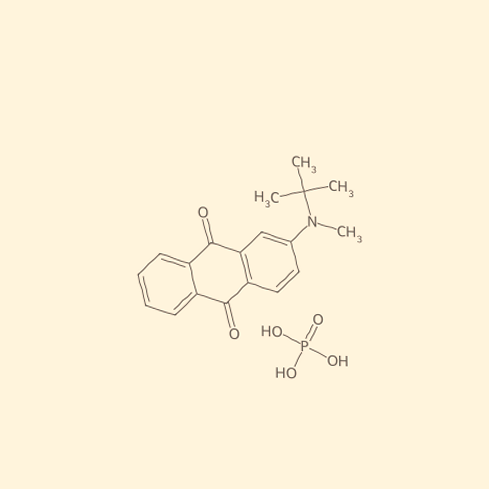 CN(c1ccc2c(c1)C(=O)c1ccccc1C2=O)C(C)(C)C.O=P(O)(O)O